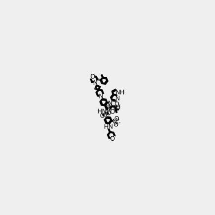 Cc1ccccc1[C@@H]1COCCN1C1CC2(CCN(c3ccc(C(=O)NS(=O)(=O)c4ccc(NCC5CCOCC5)c([N+](=O)[O-])c4)c(N4c5cc6cc[nH]c6nc5O[C@H]5[C@H]4COC5(C)C)c3)CC2)C1